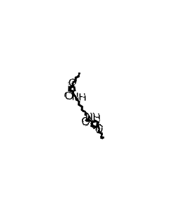 CCCCOc1ccc(C(=O)NCCCCCCCNC(=O)c2ccc(OCCCC)cc2)cc1